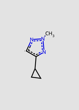 Cn1n[c]c(C2CC2)n1